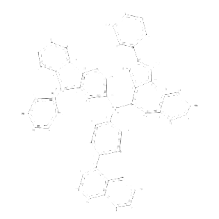 c1ccc(-c2nc3c(N(c4ccc(-c5cccc6ccccc56)cc4)c4ccc5c6ccccc6n(-c6ccccc6)c5c4)cc4ccccc4c3o2)cc1